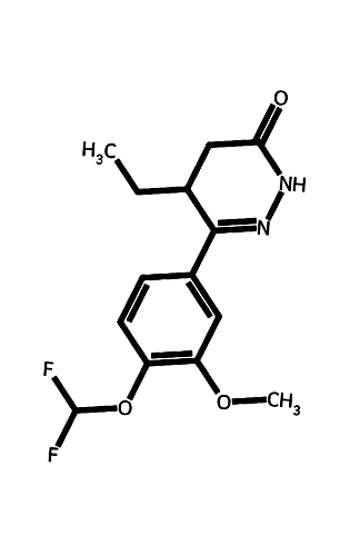 CCC1CC(=O)NN=C1c1ccc(OC(F)F)c(OC)c1